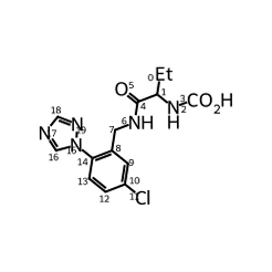 CCC(NC(=O)O)C(=O)NCc1cc(Cl)ccc1-n1cncn1